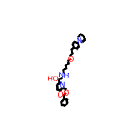 OC(CNCCCCCCOCCCc1ccc(N2CCCCC2)cc1)c1ccc2c(n1)COC(c1ccccc1)O2